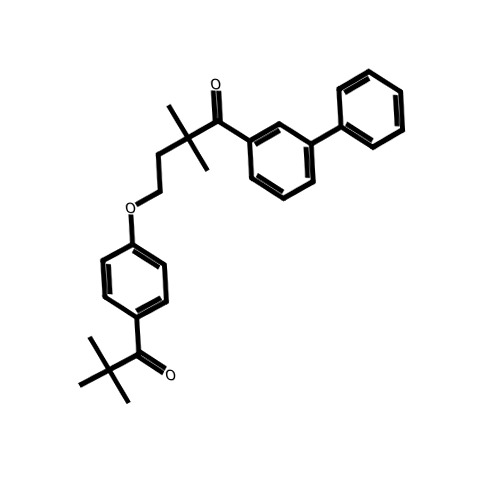 CC(C)(C)C(=O)c1ccc(OCCC(C)(C)C(=O)c2cccc(-c3ccccc3)c2)cc1